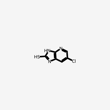 Sc1nc2cc(Cl)cnc2[nH]1